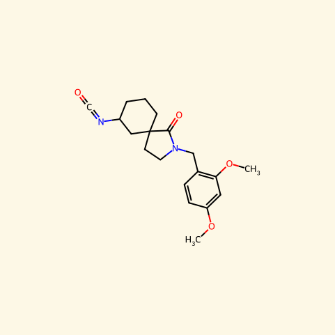 COc1ccc(CN2CCC3(CCCC(N=C=O)C3)C2=O)c(OC)c1